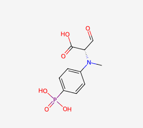 CN(c1ccc(P(=O)(O)O)cc1)[C@@H](C=O)C(=O)O